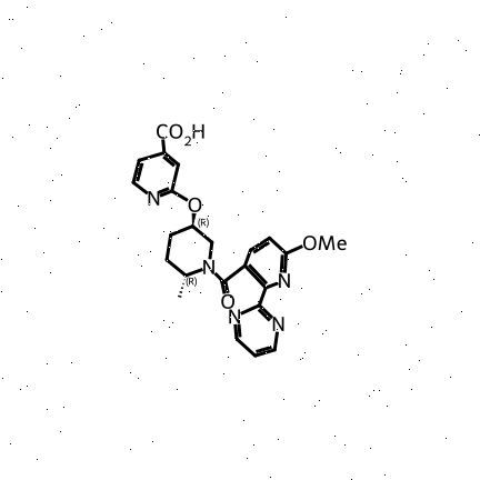 COc1ccc(C(=O)N2C[C@H](Oc3cc(C(=O)O)ccn3)CC[C@H]2C)c(-c2ncccn2)n1